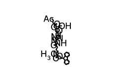 CC(=O)CCC(=O)OC1C[C@H](n2cnc3c(NC(=O)CCCN(C)C(=O)OCC4c5ccccc5-c5ccccc54)ncnc32)OC1CO